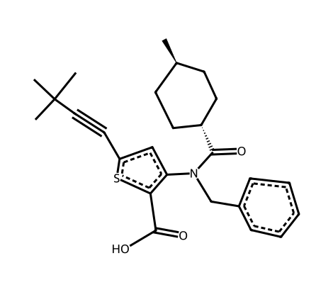 CC(C)(C)C#Cc1cc(N(Cc2ccccc2)C(=O)[C@H]2CC[C@H](C)CC2)c(C(=O)O)s1